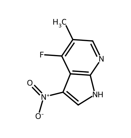 Cc1cnc2[nH]cc([N+](=O)[O-])c2c1F